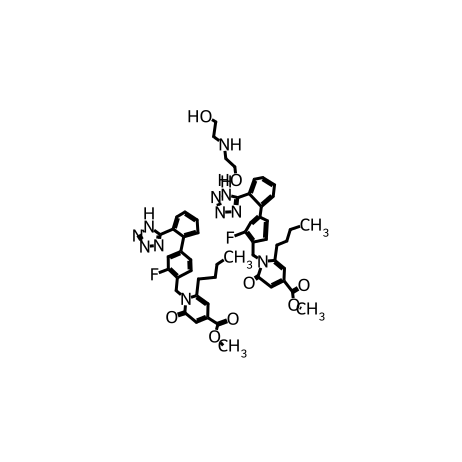 CCCCc1cc(C(=O)OC)cc(=O)n1Cc1ccc(-c2ccccc2-c2nnn[nH]2)cc1F.CCCCc1cc(C(=O)OC)cc(=O)n1Cc1ccc(-c2ccccc2-c2nnn[nH]2)cc1F.OCCNCCO